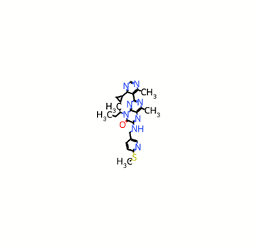 CC[C@@H](C)n1c(=O)c(NCc2ccc(SC)nc2)nc2c(C)nc(-c3c(C)ncnc3C3CC3)nc21